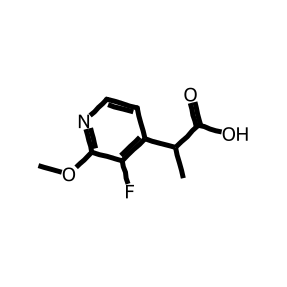 COc1nccc(C(C)C(=O)O)c1F